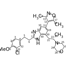 COc1ccc(CCc2nc3cc(-c4c(C)noc4C)cc(C[C@H](C)N4CCOCC4)c3[nH]2)cc1Cl